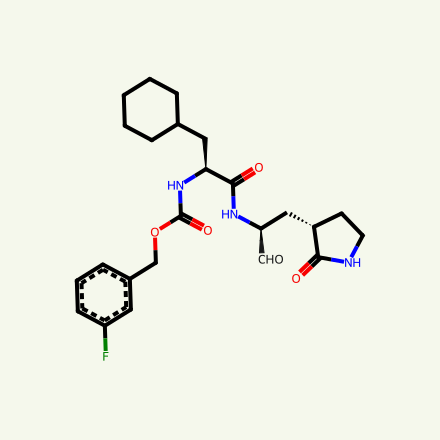 O=C[C@H](C[C@@H]1CCNC1=O)NC(=O)[C@H](CC1CCCCC1)NC(=O)OCc1cccc(F)c1